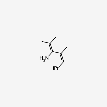 CC(C)=C(N)/C(C)=C\C(C)C